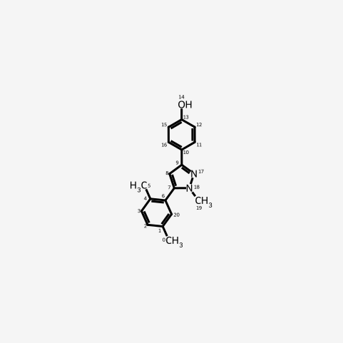 Cc1ccc(C)c(-c2cc(-c3ccc(O)cc3)nn2C)c1